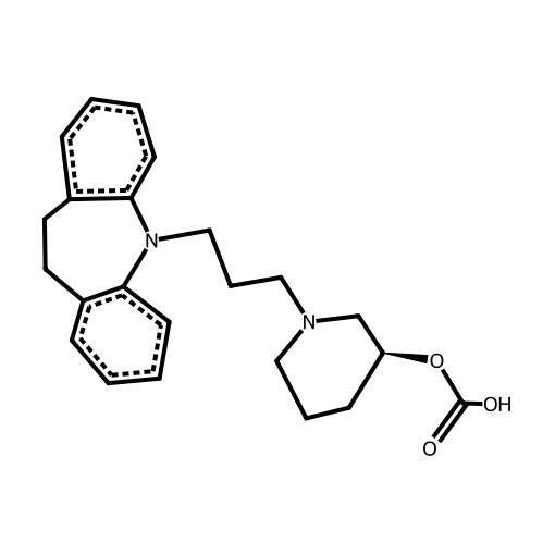 O=C(O)O[C@H]1CCCN(CCCN2c3ccccc3CCc3ccccc32)C1